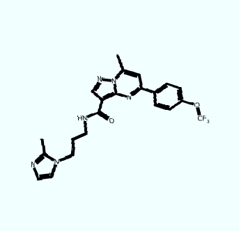 Cc1nccn1CCCNC(=O)c1cnn2c(C)cc(-c3ccc(OC(F)(F)F)cc3)nc12